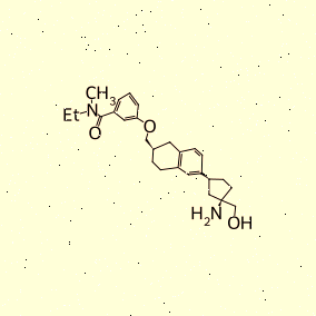 CCN(C)C(=O)c1cccc(OC[C@@H]2CCc3cc([C@H]4CC[C@](N)(CO)C4)ccc3C2)c1